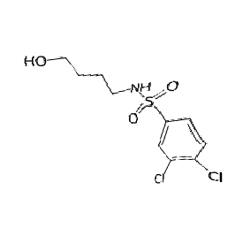 O=S(=O)(NCCCCO)c1ccc(Cl)c(Cl)c1